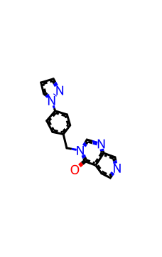 O=c1c2ccncc2ncn1Cc1ccc(-n2cccn2)cc1